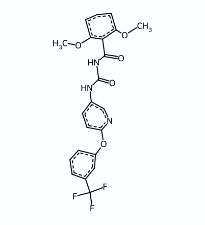 COc1cccc(OC)c1C(=O)NC(=O)Nc1ccc(Oc2cccc(C(F)(F)F)c2)nc1